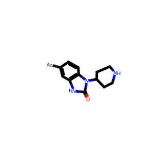 CC(=O)c1ccc2c(c1)[nH]c(=O)n2C1CCNCC1